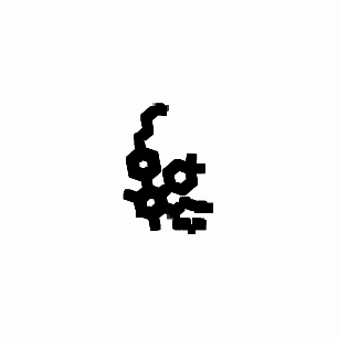 CCOC(=O)[C@@H](OC(C)(C)C)c1c(C)nc(C)c(-c2ccc(SCCC(C)C)cc2)c1N1CCC(C)(C)CC1